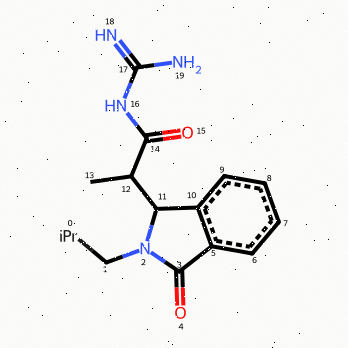 CC(C)CN1C(=O)c2ccccc2C1C(C)C(=O)NC(=N)N